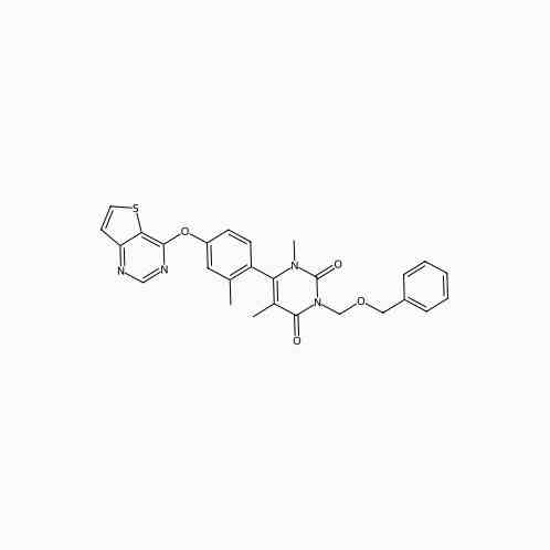 Cc1cc(Oc2ncnc3ccsc23)ccc1-c1c(C)c(=O)n(COCc2ccccc2)c(=O)n1C